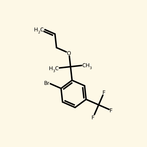 C=CCOC(C)(C)c1cc(C(F)(F)F)ccc1Br